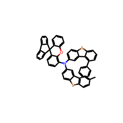 Cc1ccc2sc3ccc(N(c4ccc5sc6cccc(-c7ccccc7)c6c5c4)c4cccc5c4Oc4ccccc4C54c5ccccc5-c5ccccc54)cc3c2c1